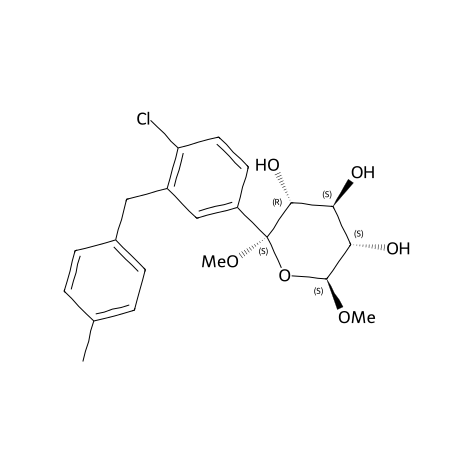 CO[C@H]1O[C@@](OC)(c2ccc(Cl)c(Cc3ccc(C)cc3)c2)[C@H](O)[C@@H](O)[C@@H]1O